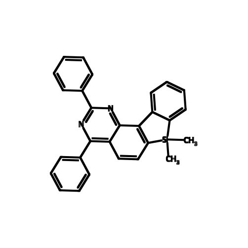 C[Si]1(C)c2ccccc2-c2c1ccc1c(-c3ccccc3)nc(-c3ccccc3)nc21